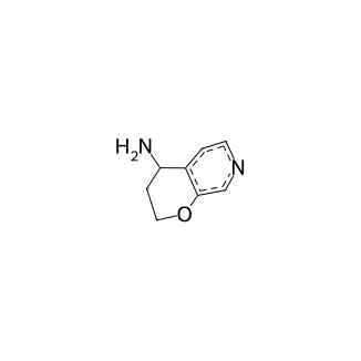 NC1CCOc2cnccc21